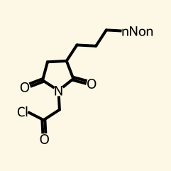 CCCCCCCCCCCCC1CC(=O)N(CC(=O)Cl)C1=O